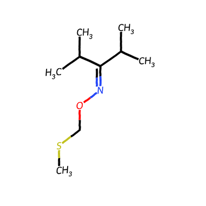 CSCON=C(C(C)C)C(C)C